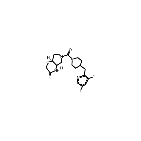 O=C1CO[C@H]2CCN(C(=O)N3CCC(Cc4ncc(F)cc4F)CC3)C[C@H]2N1